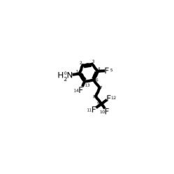 Nc1ccc(F)c(CCC(F)(F)F)c1F